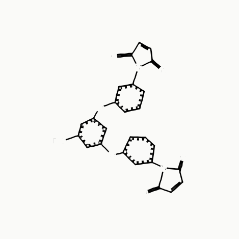 O=C1C=CC(=O)N1c1cccc(Oc2cc(Oc3cccc(N4C(=O)C=CC4=O)c3)cc(C(F)(F)F)c2)c1